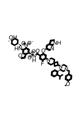 COc1ccc(CN2CCN(C3CC4(CCN(c5cc(Oc6cnc7[nH]ccc7c6)c(C(=O)NS(=O)(=O)c6cc([N+](=O)[O-])c(NC[C@H]7CC[C@](C)(O)CC7)c7occc67)cc5F)CC4)C3)[C@H](c3ccccc3C(C)C)C2)cc1